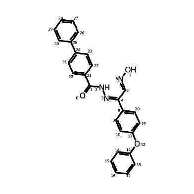 O=C(NN=C(C=NO)c1ccc(Oc2ccccc2)cc1)c1ccc(-c2ccccc2)cc1